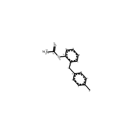 Cc1ccc(Cc2ccccc2OC(N)=O)cc1